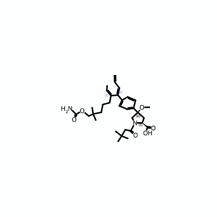 C=C/C=C(\C(=C/C)CCCC(C)(C)COC(N)=O)c1ccc([C@]2(OC)C[C@@H](C(=O)O)N(C(=O)CC(C)(C)C)C2)cc1